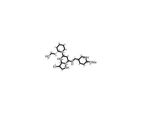 CCC1CNN2C(NCC3CCC(OC)NC3)CC(N3CCCC[C@H]3CCO)NC12